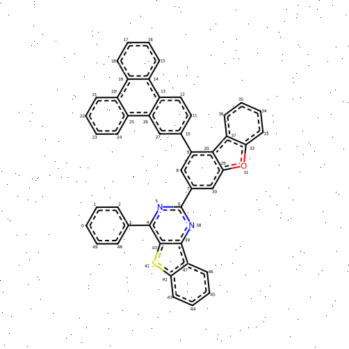 c1ccc(-c2nc(-c3cc(-c4ccc5c6ccccc6c6ccccc6c5c4)c4c(c3)oc3ccccc34)nc3c2sc2ccccc23)cc1